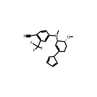 CO[C@@H]1CCC(C2C=CC=C2)=C[C@H]1N(C)c1ccc(C#N)c(C(F)(F)F)c1